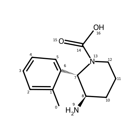 Cc1ccccc1[C@H]1[C@H](N)CCCN1C(=O)O